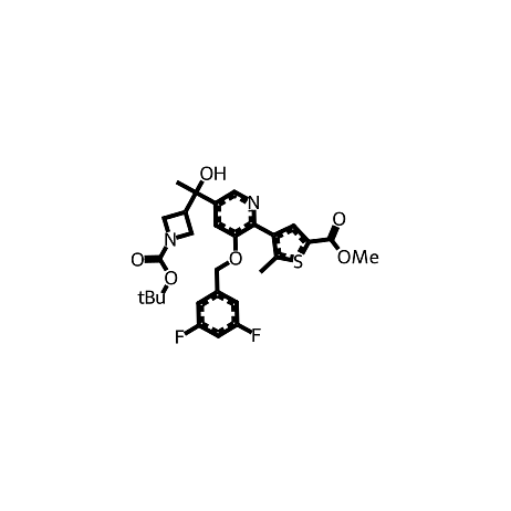 COC(=O)c1cc(-c2ncc(C(C)(O)C3CN(C(=O)OC(C)(C)C)C3)cc2OCc2cc(F)cc(F)c2)c(C)s1